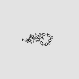 COc1ccc(Oc2ccc(C(=O)c3ccc(Oc4ccc(Oc5ccc(C(=O)CC(C)(C)C(=O)OCCOP(=O)(O)OCC[N+](C)(C)C)cc5)cc4)cc3)cc2)cc1